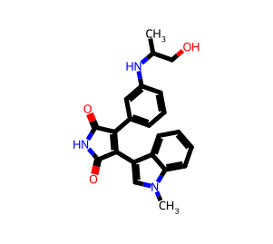 CC(CO)Nc1cccc(C2=C(c3cn(C)c4ccccc34)C(=O)NC2=O)c1